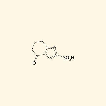 O=C1CCCc2sc(S(=O)(=O)O)cc21